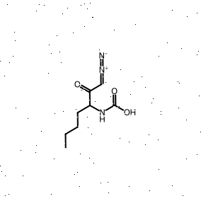 CCCCC(NC(=O)O)C(=O)C=[N+]=[N-]